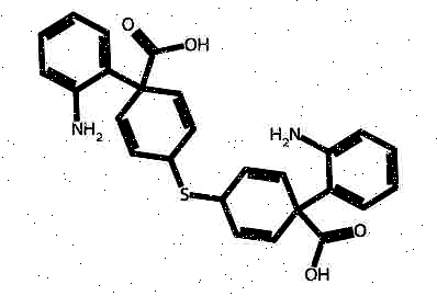 Nc1ccccc1C1(C(=O)O)C=CC(SC2C=CC(C(=O)O)(c3ccccc3N)C=C2)C=C1